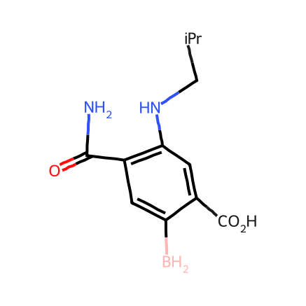 Bc1cc(C(N)=O)c(NCC(C)C)cc1C(=O)O